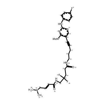 CNc1nc(Nc2ccc(F)cc2)ncc1C#CCCCNC(=O)CCC(F)(F)CNC(=O)/C=C/CN(C)C